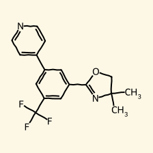 CC1(C)COC(c2cc(-c3ccncc3)cc(C(F)(F)F)c2)=N1